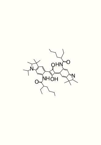 CCCCC(CC)C(=O)Nc1cc2c(cc1C1=C(O)/C(=c3\cc4c(cc3NC(=O)C(CC)CCCC)=NC(C)C4(C)C)C1=O)C(C)(C)C(C)N2C(C)C